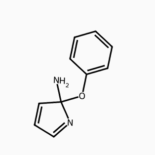 NC1(Oc2ccccc2)C=CC=N1